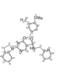 COc1ccc(COc2nc(N3CCc4ccccc43)ncc2C(=O)NCc2ccccn2)cc1C